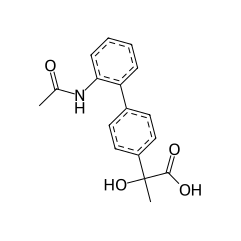 CC(=O)Nc1ccccc1-c1ccc(C(C)(O)C(=O)O)cc1